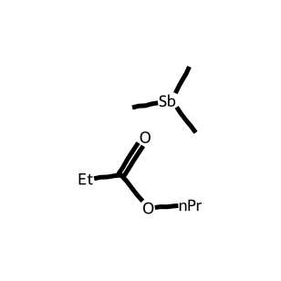 CCCOC(=O)CC.[CH3][Sb]([CH3])[CH3]